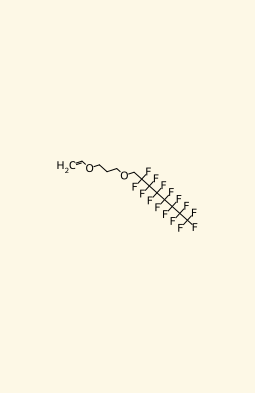 C=COCCCOCC(F)(F)C(F)(F)C(F)(F)C(F)(F)C(F)(F)C(F)(F)C(F)(F)F